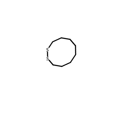 C1CCCCSSCCC1